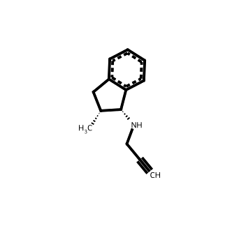 C#CCN[C@H]1c2ccccc2C[C@H]1C